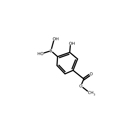 COC(=O)c1ccc(B(O)O)c(O)c1